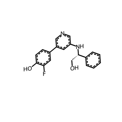 OC[C@H](Nc1cncc(-c2ccc(O)c(F)c2)c1)c1ccccc1